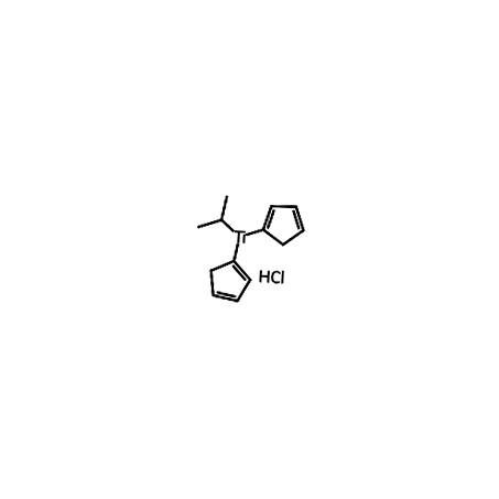 C[CH](C)[Ti]([C]1=CC=CC1)[C]1=CC=CC1.Cl